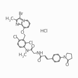 Cc1nc2c(OCc3c(Cl)ccc(N(C)C(=O)CNC(=O)/C=C/c4ccc(N5CCCC5=O)cc4)c3Cl)cccn2c1Br.Cl